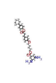 Nc1cc(N)cc(C(=O)OCCCCCOc2ccc(C=CC(=O)Oc3ccc(C4CCCCC4)cc3)cc2)c1